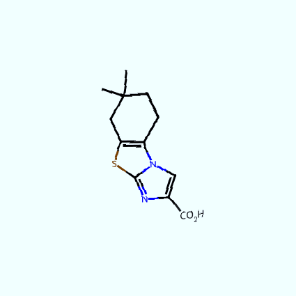 CC1(C)CCc2c(sc3nc(C(=O)O)cn23)C1